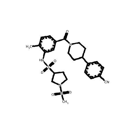 Cc1ccc(C(=O)N2CCC(c3ccc(C#N)cc3)CC2)cc1NS(=O)(=O)C1CCN(S(C)(=O)=O)C1